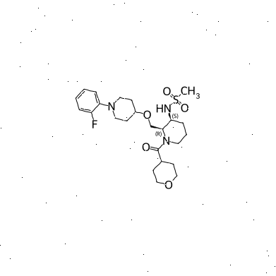 CS(=O)(=O)N[C@H]1CCCN(C(=O)C2CCOCC2)[C@H]1COC1CCN(c2ccccc2F)CC1